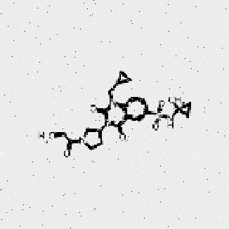 C=CC(=O)N1CCC(n2c(=O)c3cc(S(=O)(=O)NC4(C)CC4)ccc3n(CC3CC3)c2=O)C1